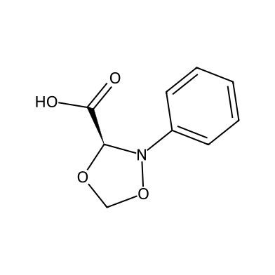 O=C(O)[C@@H]1OCON1c1ccccc1